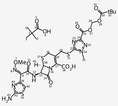 CC(C)(C)C(=O)O.CO/N=C(\C(=O)N[C@@H]1C(=O)N2C(C(=O)O)=C(CSc3nc(C(=O)OCOC(=O)C(C)(C)C)nn3C)CS[C@H]12)c1csc(N)n1